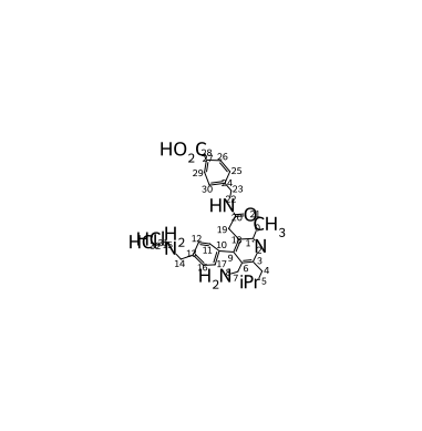 Cc1nc(CC(C)C)c(CN)c(-c2ccc(CN)cc2)c1CC(=O)NCc1ccc(C(=O)O)cc1.Cl.Cl